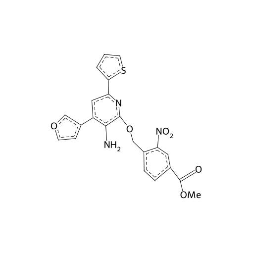 COC(=O)c1ccc(COc2nc(-c3cccs3)cc(-c3ccoc3)c2N)c([N+](=O)[O-])c1